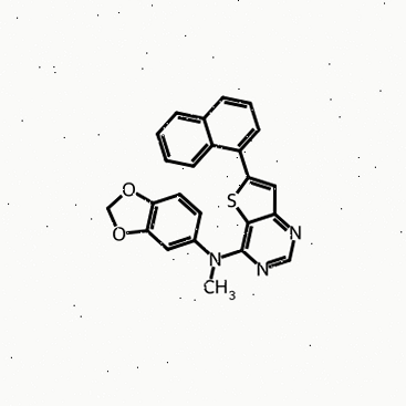 CN(c1ccc2c(c1)OCO2)c1ncnc2cc(-c3cccc4ccccc34)sc12